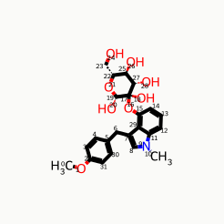 COc1ccc(Cc2cn(C)c3cccc(O[C@]4(O)[C@H](O)O[C@H](CO)[C@@H](O)[C@@H]4O)c23)cc1